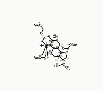 COCO[C@H]1C[C@H]2OC(C)(C)OC[C@]23C2C(CC[C@]3(O)C1)[C@@]1(OCOC)CC[C@H](C(O)C(F)(F)F)[C@@]1(C)C[C@H]2OCOC